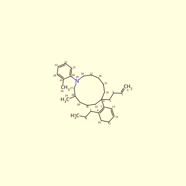 C=CCCC1(C2=C(CCC)CCC=C2)CCCCCN(c2ccccc2C)CC(C)CCC1